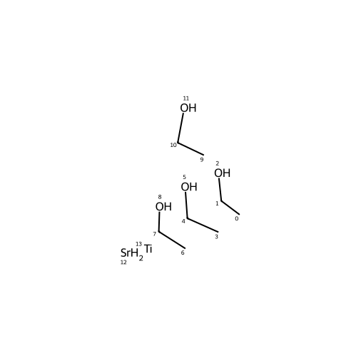 CCO.CCO.CCO.CCO.[SrH2].[Ti]